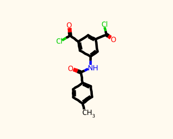 Cc1ccc(C(=O)Nc2cc(C(=O)Cl)cc(C(=O)Cl)c2)cc1